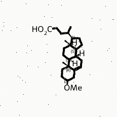 CO[C@H]1CC[C@@]2(C)C(=CC[C@H]3[C@@H]4CC[C@H](C(C)CCC(=O)O)[C@@]4(C)CC[C@@H]32)C1